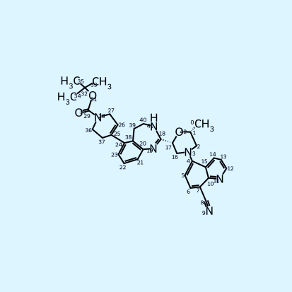 C[C@@H]1CN(c2ccc(C#N)c3ncccc23)C[C@H](C2=Nc3cccc(C4=CCN(C(=O)OC(C)(C)C)CC4)c3CCN2)O1